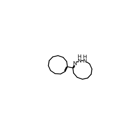 C1=C(C2=NNNCCCCCCC2)CCCCCCCCC1